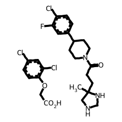 CC1(CCC(=O)N2CCC(c3ccc(Cl)c(F)c3)CC2)CNCN1.O=C(O)COc1ccc(Cl)cc1Cl